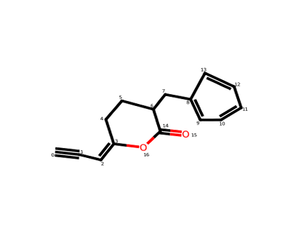 C#C/C=C1\CCC(Cc2ccccc2)C(=O)O1